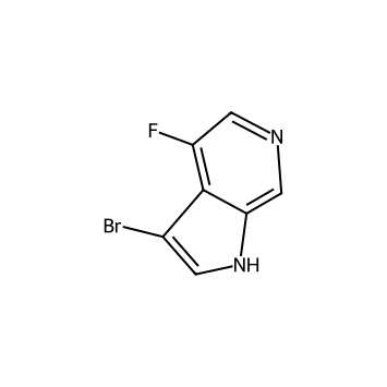 Fc1cncc2[nH]cc(Br)c12